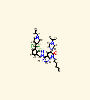 C=CCCCCn1c(=O)c(N2CCN(C(C)C)CC2)cc2c(N[C@H](C)c3cccc(C(F)(F)C4CCN(CC=C)CC4)c3F)ncnc21